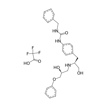 O=C(NCc1ccccc1)Nc1ccc(C[C@@H](CO)NC[C@H](O)COc2ccccc2)cc1.O=C(O)C(F)(F)F